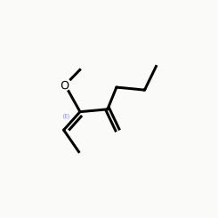 C=C(CCC)/C(=C\C)OC